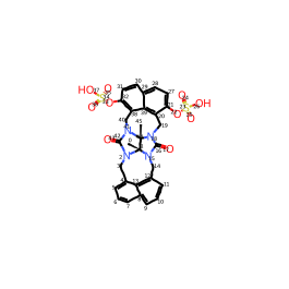 C[C@]12N3Cc4cccc5cccc(c45)CN1C(=O)N1Cc4c(OS(=O)(=O)O)ccc5ccc(OS(=O)(=O)O)c(c45)CN(C3=O)[C@]12C